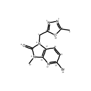 Cc1nnc(Cn2c(=O)n(C)c3nc(Br)ccc32)o1